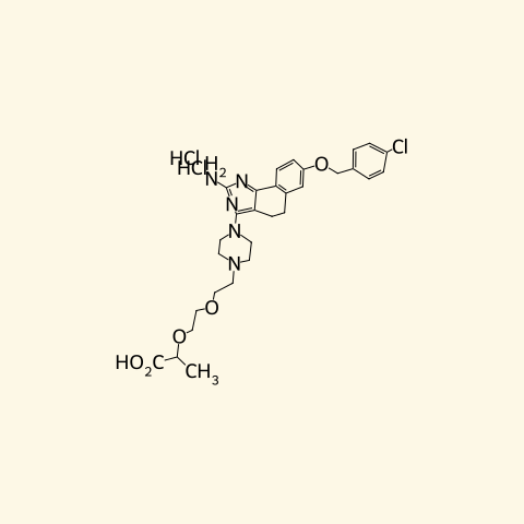 CC(OCCOCCN1CCN(c2nc(N)nc3c2CCc2cc(OCc4ccc(Cl)cc4)ccc2-3)CC1)C(=O)O.Cl.Cl